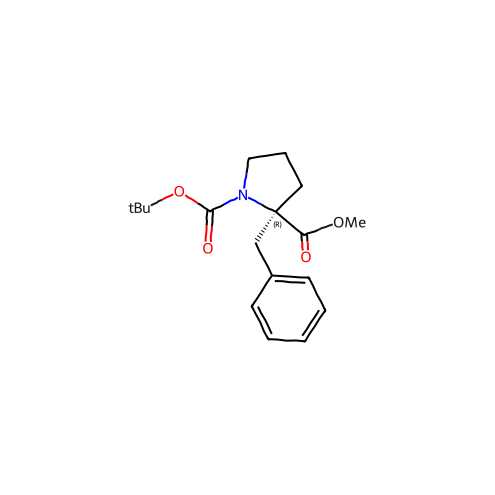 COC(=O)[C@]1(Cc2ccccc2)CCCN1C(=O)OC(C)(C)C